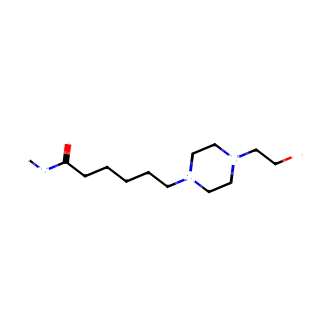 [2H]NC(=O)CCCCCN1CCN(CCO)CC1